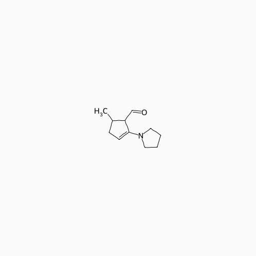 CC1CC=C(N2CCCC2)C1C=O